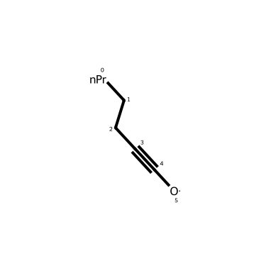 CCCCCC#C[O]